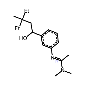 CCC(C)(CC)CC(O)c1cccc(/N=C(\C)N(C)C)c1